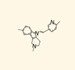 Cc1ccc2c(c1)c1c(n2C=Cc2ccc(C)nc2)CCN(C)C1